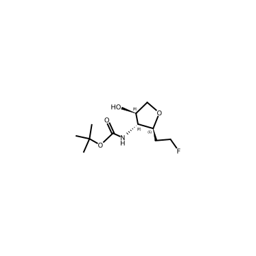 CC(C)(C)OC(=O)N[C@H]1[C@H](CCF)OC[C@@H]1O